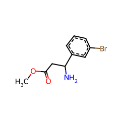 COC(=O)CC(N)c1cccc(Br)c1